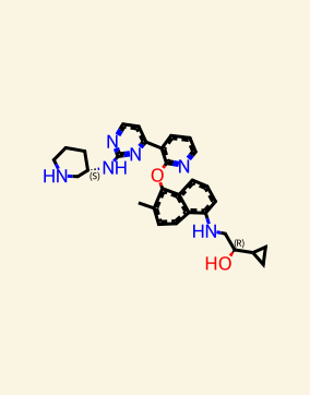 Cc1ccc2c(NC[C@H](O)C3CC3)cccc2c1Oc1ncccc1-c1ccnc(N[C@H]2CCCNC2)n1